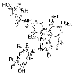 CCOc1cc2ncc(C(N)=O)c(Nc3cccc(CNC(=O)[C@H]4C[C@@H](O)CN4)c3CC)c2cc1OCC.O=C(O)C(F)(F)F.O=C(O)C(F)(F)F